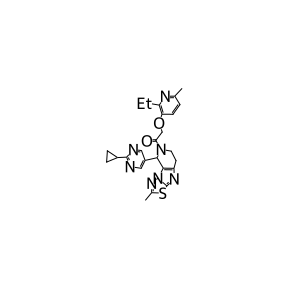 CCc1nc(C)ccc1OCC(=O)N1CCc2nc3sc(C)nn3c2C1c1cnc(C2CC2)nc1